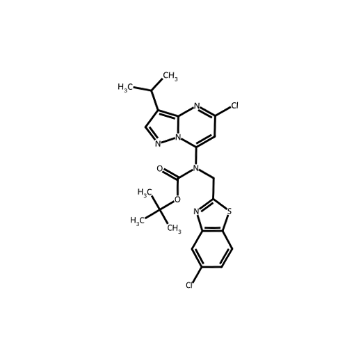 CC(C)c1cnn2c(N(Cc3nc4cc(Cl)ccc4s3)C(=O)OC(C)(C)C)cc(Cl)nc12